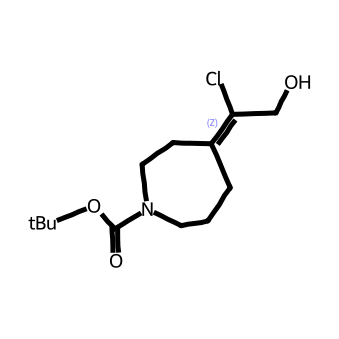 CC(C)(C)OC(=O)N1CCC/C(=C(/Cl)CO)CC1